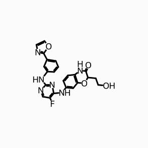 O=C1Nc2ccc(Nc3nc(Nc4cccc(-c5ncco5)c4)ncc3F)cc2OC1CCO